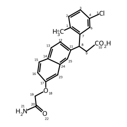 Cc1ccc(Cl)cc1C(CC(=O)O)c1ccc2ccc(OCC(N)=O)cc2c1